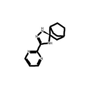 c1cnc(C2=NN[C@@]3(CC4CCC3CC4)N2)nc1